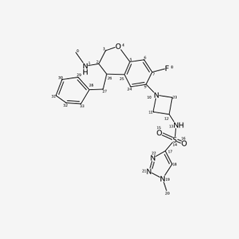 CNC1COc2cc(F)c(N3CC(NS(=O)(=O)c4cn(C)nn4)C3)cc2C1Cc1ccccc1